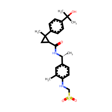 Cc1cc([C@@H](C)NC(=O)C2CC2(C)c2ccc(C(C)(C)O)cc2)ccc1NC[SH](=O)=O